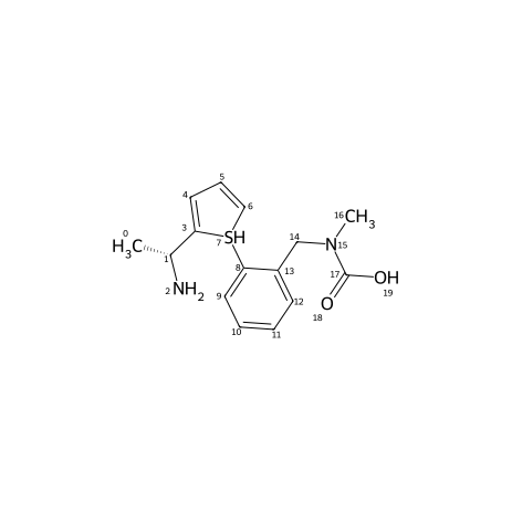 C[C@@H](N)C1=CC=C[SH]1c1ccccc1CN(C)C(=O)O